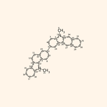 Cn1c2ccc(-c3ccc4c(ccc5c6ccccc6n(C)c45)c3)cc2c2cc3ccccc3cc21